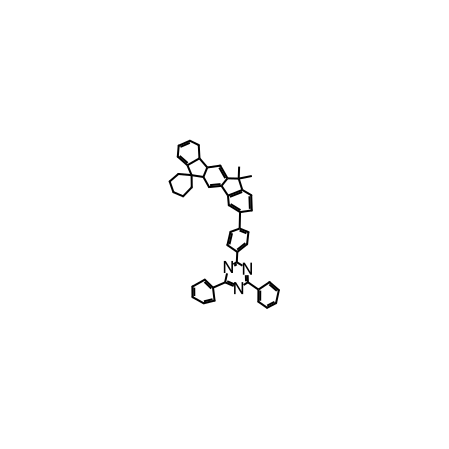 CC1(C)C2=CC3C4CC=CC=C4C4(CCCCC4)C3C=C2c2cc(-c3ccc(-c4nc(-c5ccccc5)nc(-c5ccccc5)n4)cc3)ccc21